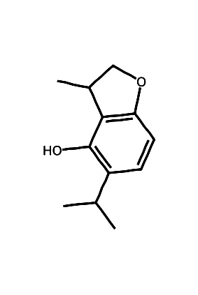 CC(C)c1ccc2c(c1O)C(C)CO2